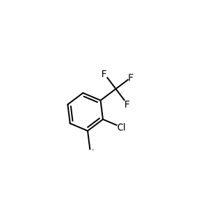 [CH2]c1cccc(C(F)(F)F)c1Cl